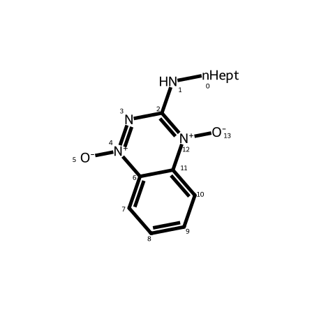 CCCCCCCNc1n[n+]([O-])c2ccccc2[n+]1[O-]